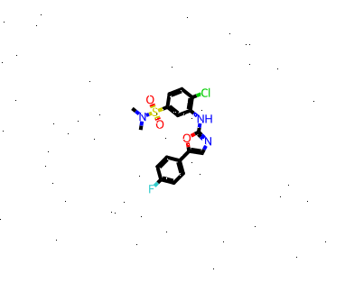 CN(C)S(=O)(=O)c1ccc(Cl)c(Nc2ncc(-c3ccc(F)cc3)o2)c1